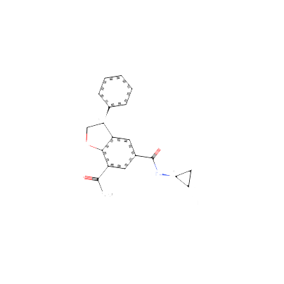 CNC(=O)c1cc(C(=O)N[C@H]2C[C@@H]2C)cc2c1OC[C@H]2c1ccccc1